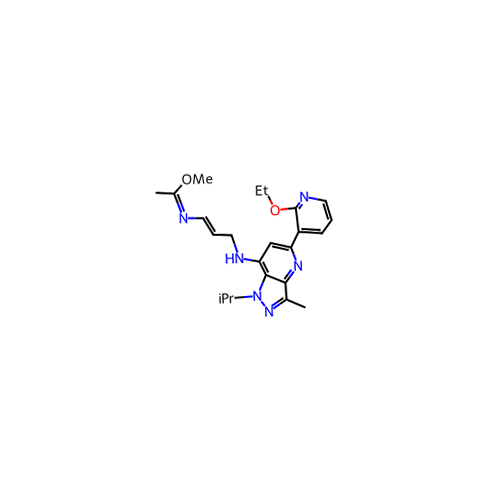 CCOc1ncccc1-c1cc(NC/C=C/N=C(/C)OC)c2c(n1)c(C)nn2C(C)C